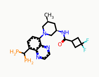 C[C@H]1C[C@@H](NC(=O)C2CC(F)(F)C2)CN(c2ccc(C(P)P)c3nccnc23)C1